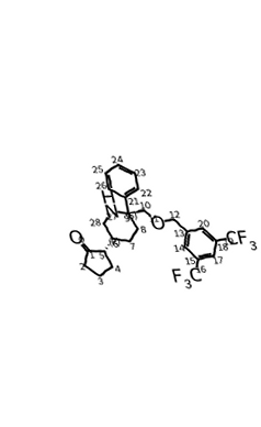 O=C1CCCC1[C@H]1CC[C@@](COCc2cc(C(F)(F)F)cc(C(F)(F)F)c2)(c2ccccc2)NC1